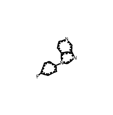 Fc1ccc(-n2cnc3cnccc32)cc1